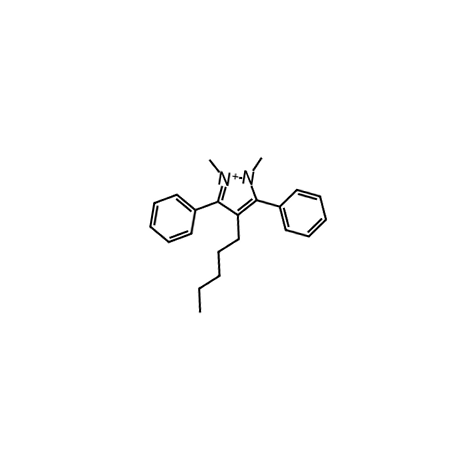 CCCCCc1c(-c2ccccc2)n(C)[n+](C)c1-c1ccccc1